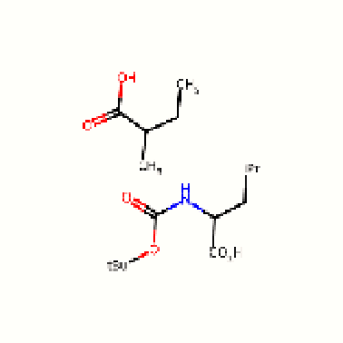 CC(C)CC(NC(=O)OC(C)(C)C)C(=O)O.CCC(C)C(=O)O